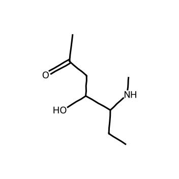 CCC(NC)C(O)CC(C)=O